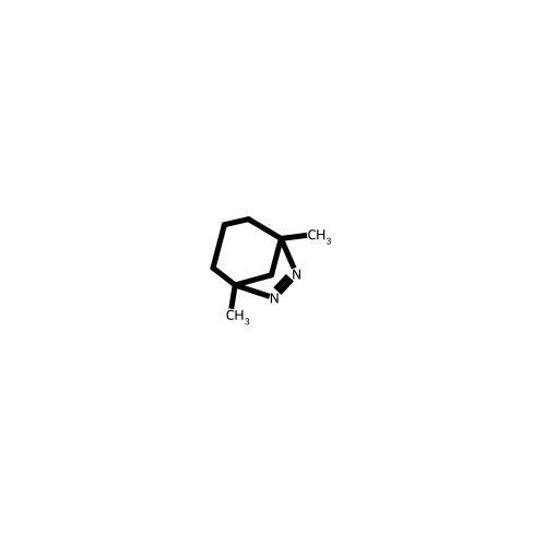 CC12CCCC(C)(C1)N=N2